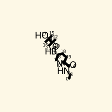 CCNC(=O)C1=NC[C@H](BOC(C)(C)C(C)(C)O)CC1